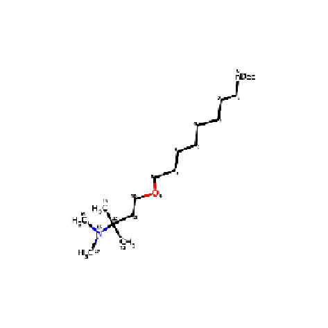 CCCCCCCCCCCCCCCCCCOCCC(C)(C)N(C)C